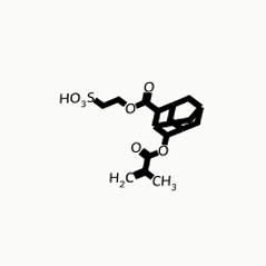 C=C(C)C(=O)OC1C2CC3CC(C2)C(C(=O)OCCS(=O)(=O)O)C1C3